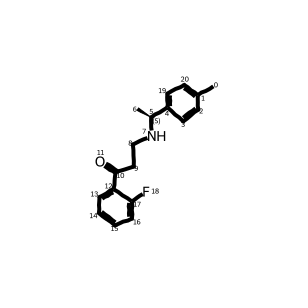 Cc1ccc([C@H](C)NCCC(=O)c2ccccc2F)cc1